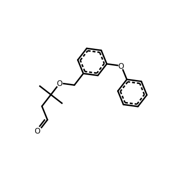 CC(C)(CC=O)OCc1cccc(Oc2ccccc2)c1